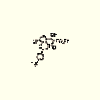 CCOC(=O)c1c(O)c2ccc(Cl)c3c2n(c1=O)CC(c1ccc(C(F)(F)F)cc1)O3